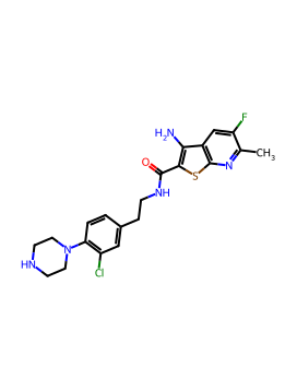 Cc1nc2sc(C(=O)NCCc3ccc(N4CCNCC4)c(Cl)c3)c(N)c2cc1F